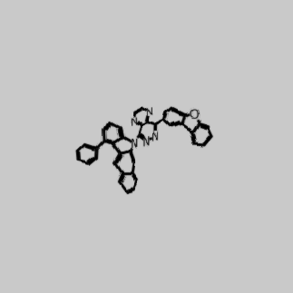 c1ccc(-c2cccc3c2c2cc4ccccc4cc2n3-c2nnc(-c3ccc4oc5ccccc5c4c3)c3nccnc23)cc1